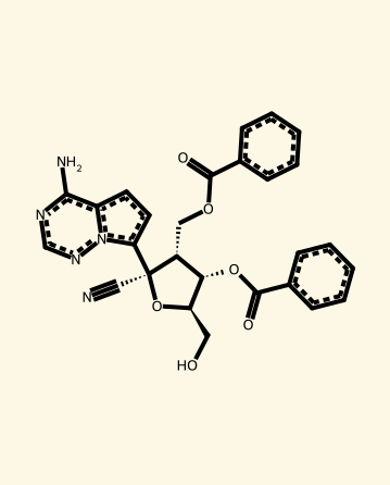 N#C[C@@]1(c2ccc3c(N)ncnn23)O[C@H](CO)[C@@H](OC(=O)c2ccccc2)[C@H]1COC(=O)c1ccccc1